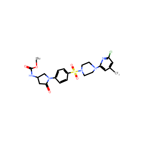 CC(C)(C)OC(=O)NC1CC(=O)N(c2ccc(S(=O)(=O)N3CCN(c4cc(C(F)(F)F)cc(Cl)n4)CC3)cc2)C1